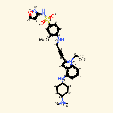 COc1cc(S(=O)(=O)Nc2ccon2)ccc1NCC#Cc1cc2c(N[C@H]3CC[C@H](N(C)C)CC3)cccc2n1CC(F)(F)F